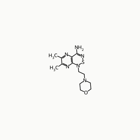 Cc1nc2c(nc1C)N(CCN1CCOCC1)SN=C2N